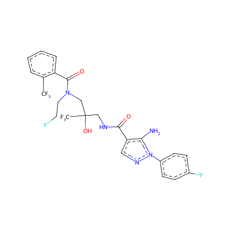 Nc1c(C(=O)NCC(O)(CN(CCF)C(=O)c2ccccc2C(F)(F)F)C(F)(F)F)cnn1-c1ccc(F)cc1